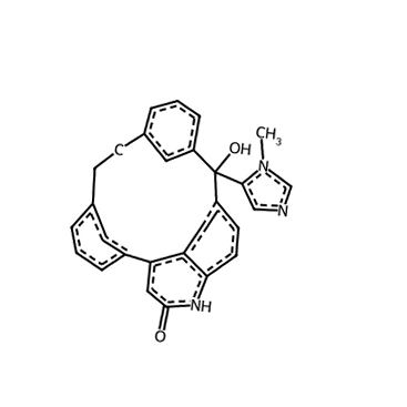 Cn1cncc1C1(O)c2cccc(c2)CCc2cccc(c2)-c2cc(=O)[nH]c3ccc1cc23